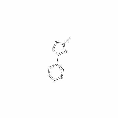 Cc1ncc(-c2cccnc2)o1